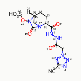 N#Cc1nnn(CC(=O)NNC(=O)[C@@H]2CC[C@@H]3CN2C(=O)N3OS(=O)(=O)O)n1